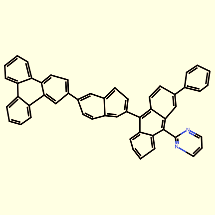 c1ccc(-c2ccc3c(-c4ccc5cc(-c6ccc7c8ccccc8c8ccccc8c7c6)ccc5c4)c4ccccc4c(-c4ncccn4)c3c2)cc1